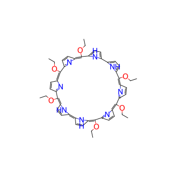 CCOc1c2nc(c(OCC)c3ccc([nH]3)c3ccc([nH]3)c(OCC)c3nc(c(OCC)c4nc(c(OCC)c5ccc([nH]5)c5ccc([nH]5)c(OCC)c5nc1C=C5)C=C4)C=C3)C=C2